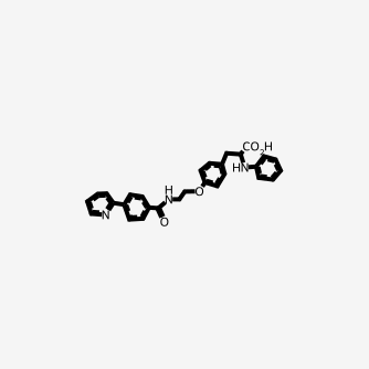 O=C(NCCOc1ccc(CC(Nc2ccccc2)C(=O)O)cc1)c1ccc(-c2ccccn2)cc1